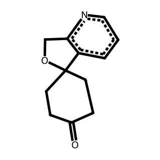 O=C1CCC2(CC1)OCc1ncccc12